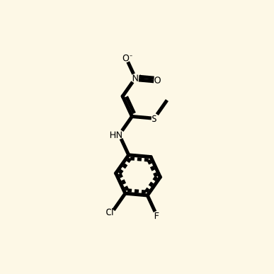 CS/C(=C\[N+](=O)[O-])Nc1ccc(F)c(Cl)c1